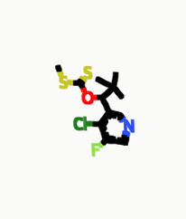 CSC(=S)OC(c1cncc(F)c1Cl)C(C)(C)C